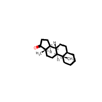 C[C@]12CCCCC1CC[C@@H]1[C@@H]2CC[C@]2(C)C(=O)CC[C@@H]12